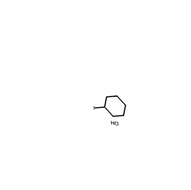 Cl.IC1CCCCC1